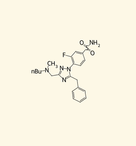 CCCCN(C)Cc1nc(Cc2ccccc2)n(-c2ccc(S(N)(=O)=O)cc2F)n1